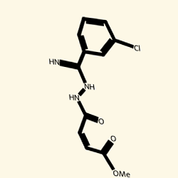 COC(=O)/C=C\C(=O)NNC(=N)c1cccc(Cl)c1